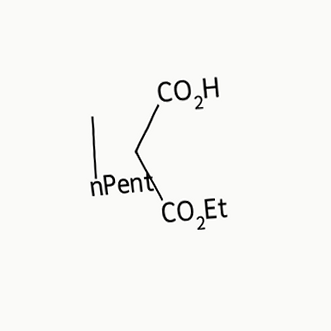 CCCCCC.CCOC(=O)CC(=O)O